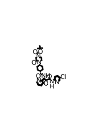 CC(C)(C)OC(=O)N1CCN([C@H]2CC[C@H](C(=O)Nc3c(C(=O)Nc4ccc(Cl)cn4)oc4cccnc34)CC2)C(=O)C1